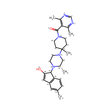 Cc1ncnc(C)c1C(=O)N1CCC(C)(N2CCN(C3C(O)=Cc4cc(C(F)(F)F)ccc43)[C@@H](C)C2)CC1